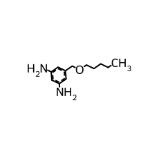 CCCCCOCc1cc(N)cc(N)c1